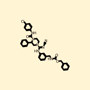 N#CN=C(Nc1cccc(CNC(=O)OCc2ccccc2)c1)N1CCN(C(=O)Nc2ccc(Cl)cc2)C(c2ccccc2)C1